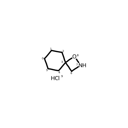 C1CCC2(CC1)CNO2.Cl